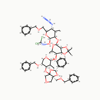 CC1C(OC23COC[C@]2(COCc2ccccc2)O[C@@H](c2ccccc2)O3)[C@H](OCc2ccccc2)CO[C@H]1O[C@H]1C(C)O[C@@H](OC2C(C)[C@@H](N=[N+]=[N-])C(COCc3ccccc3)O[C@@H]2ONC(Cl)Cl)C2OC(C)(C)OC21